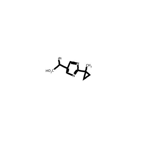 CC(C)C(C(=O)O)c1cnc(C2(C)CC2)nc1